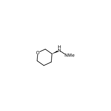 CNN[C@H]1CCCOC1